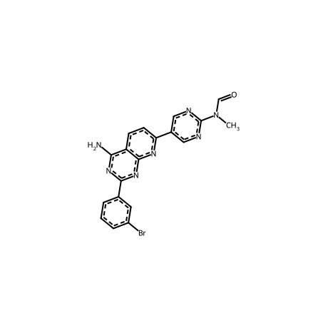 CN(C=O)c1ncc(-c2ccc3c(N)nc(-c4cccc(Br)c4)nc3n2)cn1